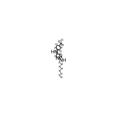 CCCCCCCCNc1ncc(Nc2ccc(C(C)(C)C)cc2)cn1